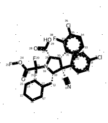 N#C[C@]1(c2ccc(Cl)cc2)[C@H](CC2CCCCC2)N(C(F)(F)C(=O)OF)[C@H](C(=O)O)[C@@H]1c1cccc(Cl)c1F